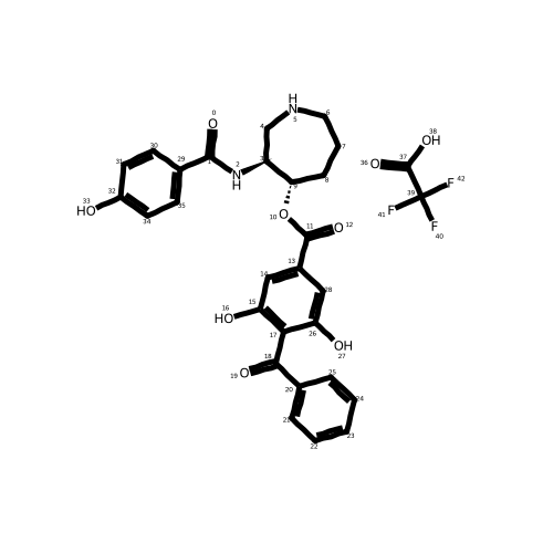 O=C(N[C@H]1CNCCC[C@@H]1OC(=O)c1cc(O)c(C(=O)c2ccccc2)c(O)c1)c1ccc(O)cc1.O=C(O)C(F)(F)F